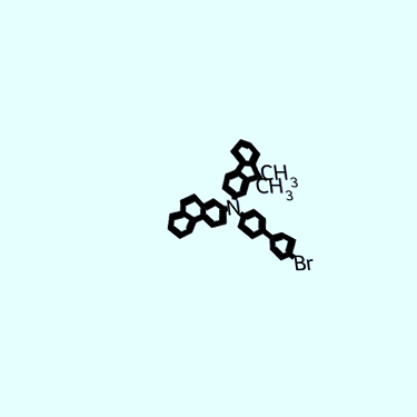 CC1(C)c2ccccc2-c2ccc(N(c3ccc(-c4ccc(Br)cc4)cc3)c3ccc4c(ccc5ccccc54)c3)cc21